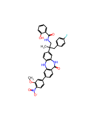 COc1cc(-c2ccc3c(c2)Nc2ccc(C(C)(CNC(=O)c4ccccc4O)Cc4ccc(F)cc4)cc2NC3=O)ccc1[N+](=O)[O-]